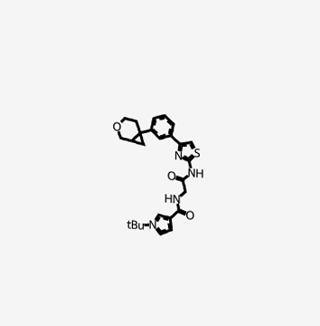 CC(C)(C)n1ccc(C(=O)NCC(=O)Nc2nc(-c3cccc(C45CCOCC4C5)c3)cs2)c1